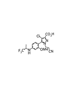 COc1cc(N[C@H](C)C(F)(F)F)ccc1-c1c(Cl)c(C(=O)O)nn1CCC#N